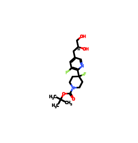 CC(C)(C)OC(=O)N1CCC(F)(c2ncc(C[C@H](O)CO)cc2F)CC1